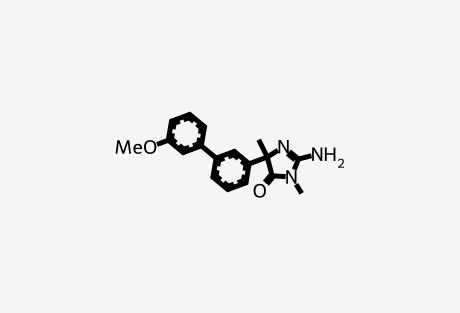 COc1cccc(-c2cccc(C3(C)N=C(N)N(C)C3=O)c2)c1